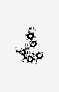 CO[C@H]1COCC[C@H]1NC1CCN(C(=O)c2cc(NC[C@H]3CCC[C@@H](c4ccc(SC)cc4)O3)nc(CF)n2)CC1